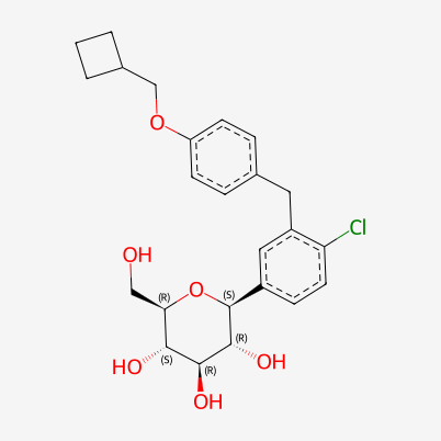 OC[C@H]1O[C@@H](c2ccc(Cl)c(Cc3ccc(OCC4CCC4)cc3)c2)[C@H](O)[C@@H](O)[C@@H]1O